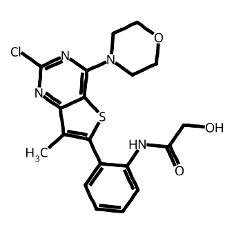 Cc1c(-c2ccccc2NC(=O)CO)sc2c(N3CCOCC3)nc(Cl)nc12